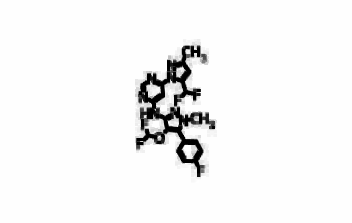 Cc1cc(C(F)F)n(-c2cc(Nc3nn(C)c(-c4ccc(F)cc4)c3OC(F)F)ncn2)n1